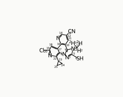 [2H]C([2H])([2H])n1c(S)nnc1-c1cc(C#N)cnc1-c1cc(Cl)nc(C2CC2)c1